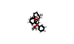 N#CC(C[C@H]1C[C@H]2CC[C@@H](C1)N2CCCC(F)(F)F)(c1ccccc1)c1ccccc1